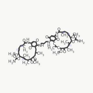 COC1CC(C)CC2=C(NCCCNC3=C4CC(C)CC(OC)C(=O)C(C)/C=C(\C)C(OC(N)=O)C(OC)/C=C\C=C(/C)C(=O)NC(=CC3=O)C4=O)C(=O)C=C(NC(=O)/C(C)=C/C=C\C(OC)C(OC(N)=O)/C(C)=C/C(C)C1=O)C2=O